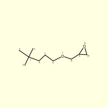 CC(C)(C)CCCOCC1CO1